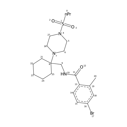 CCCS(=O)(=O)N1CCN(C2(CNC(=O)c3ccc(Br)cc3C)CCCCC2)CC1